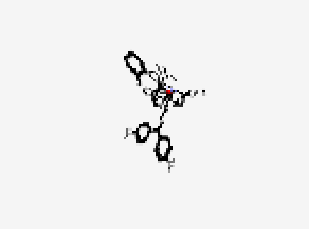 CC1(/C(=C/C(=O)O)C(=O)O)Oc2ccccc2COC12CCN(CCC=C(c1ccc(F)cc1)c1ccc(F)cc1)CC2